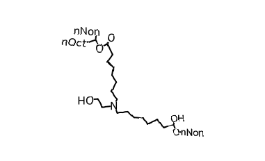 CCCCCCCCCOC(O)CCCCCCCN(CCO)CCCCCCCC(=O)OC(CCCCCCCC)CCCCCCCCC